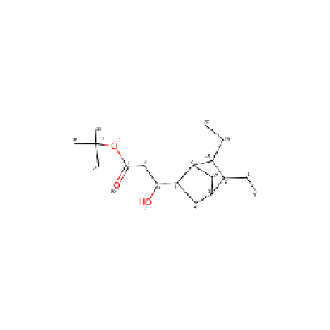 CCC1C2CC(C(O)CC(=O)OC(C)(C)C)C(C2)C1CC